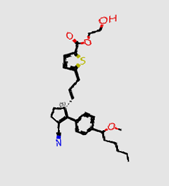 CCCCCC(OC)c1ccc(C2=C(C#N)CC[C@@H]2CCCc2ccc(C(=O)OCCO)s2)cc1